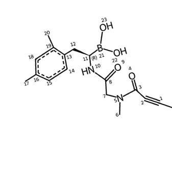 CC#CC(=O)N(C)CC(=O)N[C@@H](Cc1ccc(C)cc1C)B(O)O